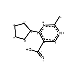 Cc1ncc(C(=O)O)c(C2CCCC2)n1